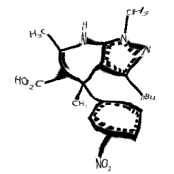 CCCCc1nn(C)c2c1C(C)(c1cccc([N+](=O)[O-])c1)C(C(=O)O)=C(C)N2